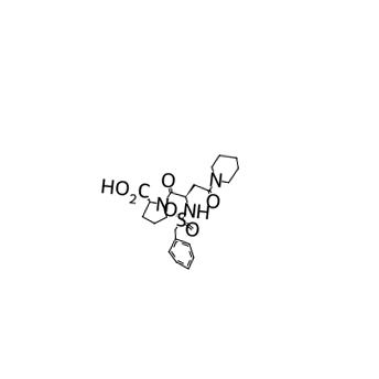 O=C(O)[C@@H]1CCCN1C(=O)[C@@H](CC(=O)N1CCCCC1)NS(=O)(=O)Cc1ccccc1